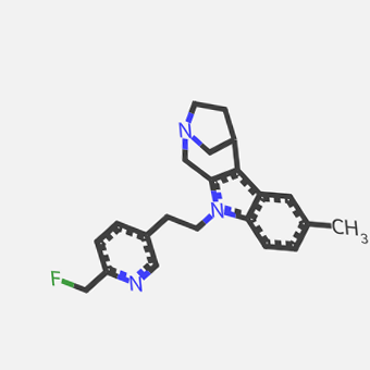 Cc1ccc2c(c1)c1c(n2CCc2ccc(CF)nc2)CN2CCC1C2